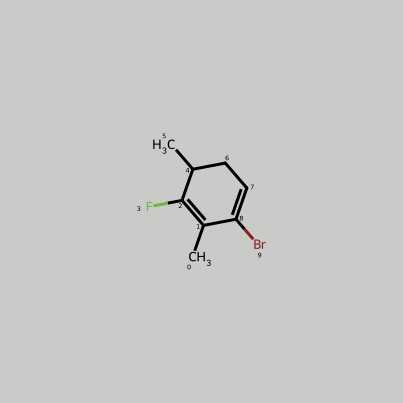 CC1=C(F)C(C)CC=C1Br